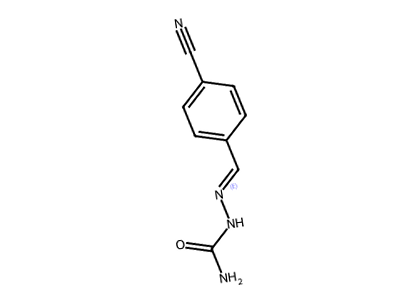 N#Cc1ccc(/C=N/NC(N)=O)cc1